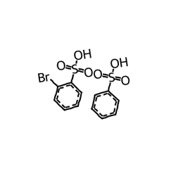 O=S(=O)(O)c1ccccc1.O=S(=O)(O)c1ccccc1Br